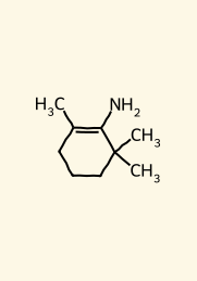 CC1=C(N)C(C)(C)CCC1